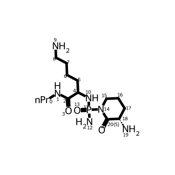 CCCNC(=O)C(CCCCN)NP(N)(=O)N1CCC[C@H](N)C1=O